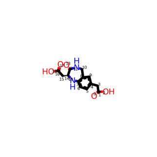 O=C(O)Cc1ccc2c(c1)CNC(=O)[C@H](CC(=O)O)N2